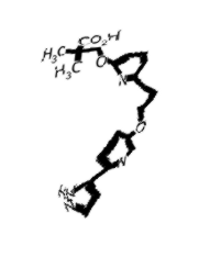 CC(C)(COc1cccc(CCOc2ccc(-c3ccn[nH]3)nc2)n1)C(=O)O